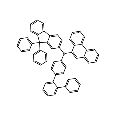 c1ccc(-c2ccccc2-c2ccc(N(c3ccc4c(c3)C(c3ccccc3)(c3ccccc3)c3ccccc3-4)c3cc4ccccc4c4ccccc34)cc2)cc1